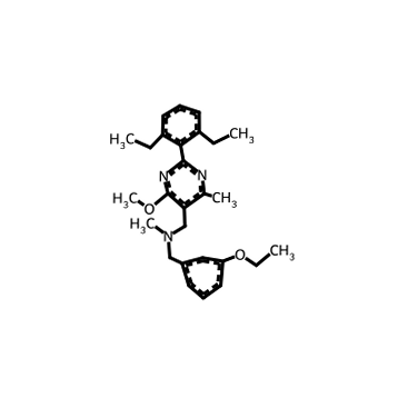 CCOc1cccc(CN(C)Cc2c(C)nc(-c3c(CC)cccc3CC)nc2OC)c1